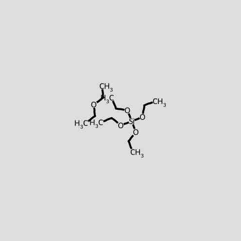 CCOCC.CCO[Si](OCC)(OCC)OCC